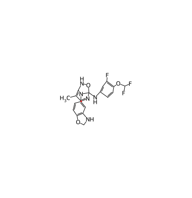 CC1=C2NOC(Nc3ccc(OC(F)F)c(F)c3)(N=C1)N2c1ccc2c(c1)NCO2